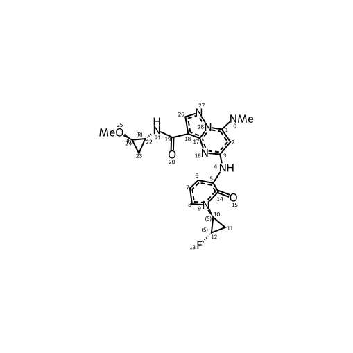 CNc1cc(Nc2cccn([C@H]3C[C@@H]3F)c2=O)nc2c(C(=O)N[C@@H]3C[C@H]3OC)cnn12